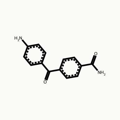 NC(=O)c1ccc(C(=O)c2ccc(N)cc2)cc1